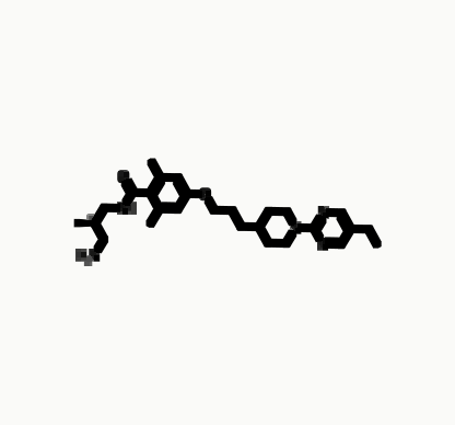 CCc1cnc(N2CCC(CCCOc3cc(C)c(C(=O)NC[C@H](C)CN)c(C)c3)CC2)nc1